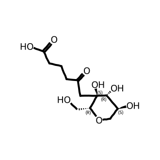 O=C(O)CCCC(=O)C[C@]1(O)[C@H](O)[C@@H](O)CO[C@@H]1CO